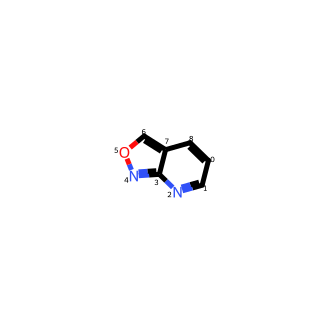 c1cnc2nocc2c1